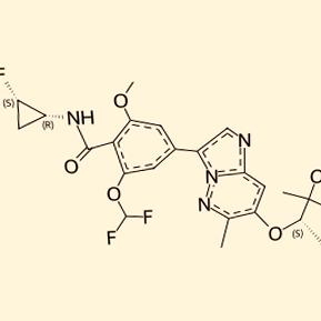 COc1cc(-c2cnc3cc(O[C@@H](C)C(C)(C)O)c(C)nn23)cc(OC(F)F)c1C(=O)N[C@@H]1C[C@@H]1F